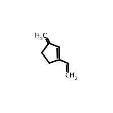 C=CC1=CC(=C)CC1